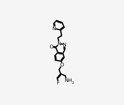 NC/C(=C\F)COc1ccc2c(=O)n(CCc3ccccn3)ncc2c1